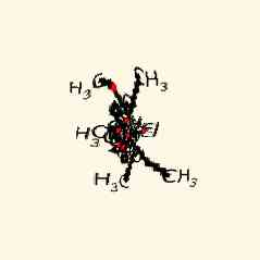 CCCCCCCCCCC[C@H](CC(=O)N[C@@H](CO[C@@H]1O[C@H](COC(=O)OC(C)(C)C(Cl)(Cl)Cl)[C@@H](OP(=O)(Oc2ccccc2)Oc2ccccc2)[C@H](OC(=O)C[C@@H](CCCCCCCCCCC)OC(=O)CCCCCCCCC)[C@H]1NC(=O)OCC(Cl)(Cl)Cl)C(=O)OCc1ccccc1)OC(=O)CCCCCCCCC